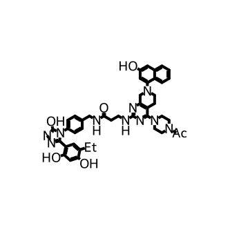 CCc1cc(-c2nnc(O)n2-c2ccc(CNC(=O)CCNc3nc4c(c(N5CCN(C(C)=O)CC5)n3)CCN(c3cc(O)cc5ccccc35)C4)cc2)c(O)cc1O